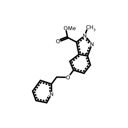 COC(=O)c1c2cc(OCc3ccccn3)ccc2nn1C